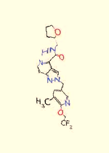 Cc1cc(Cn2cc3c(C(=O)NC[C@@H]4CCCO4)nccc3n2)cnc1OCC(F)(F)F